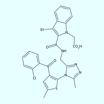 CCc1c(C(=O)NCc2nnc(C)n2-c2sc(C)cc2C(=O)c2ccccc2Cl)n(CC(=O)O)c2ccccc12